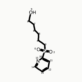 O=S(=O)(CCCCCCO)c1ccccn1